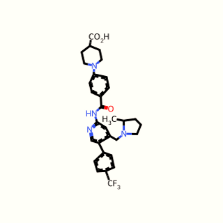 CC1CCCN1Cc1cc(NC(=O)c2ccc(N3CCC(C(=O)O)CC3)cc2)ncc1-c1ccc(C(F)(F)F)cc1